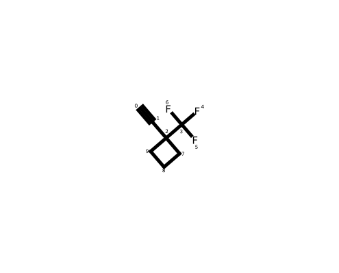 C#CC1(C(F)(F)F)CCC1